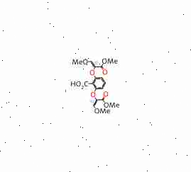 CO/C=C(\Oc1cccc(O/C(=C/OC)C(=O)OC)c1C(=O)O)C(=O)OC